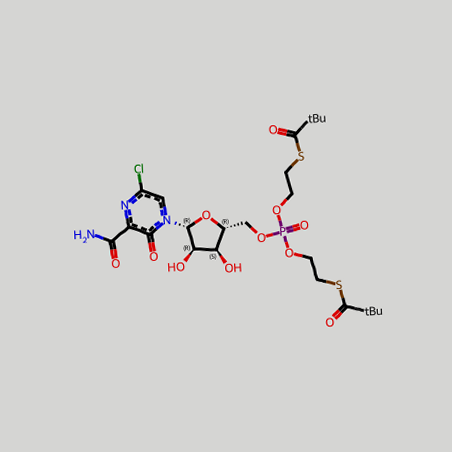 CC(C)(C)C(=O)SCCOP(=O)(OCCSC(=O)C(C)(C)C)OC[C@H]1O[C@@H](n2cc(Cl)nc(C(N)=O)c2=O)[C@H](O)[C@@H]1O